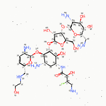 NC[C@@H](F)[C@H](O)C(=O)N[C@@H]1C[C@H](N)[C@@H](O[C@H]2O[C@H](CNCCO)C=C[C@H]2N)[C@H](O[C@@H]2O[C@H](CO)[C@@H](O[C@H]3O[C@@H](CN)[C@@H](O)[C@H](O)[C@H]3N)[C@H]2O)[C@H]1O